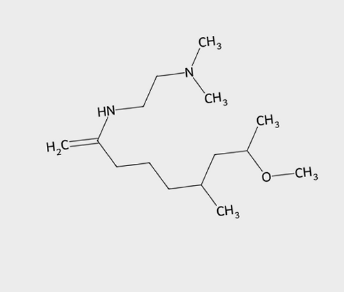 C=C(CCCC(C)CC(C)OC)NCCN(C)C